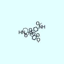 COc1ccc(CN(C2CCCCNC2=O)S(=O)(=O)c2ccc(NC(C)=O)cc2)cc1OC